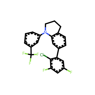 Fc1cc(F)c(Cl)c(-c2ccc3c(c2)N(c2cccc(C(F)(F)F)c2)CCC3)c1